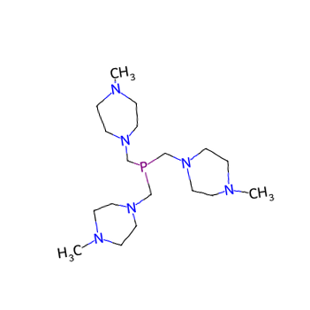 CN1CCN(CP(CN2CCN(C)CC2)CN2CCN(C)CC2)CC1